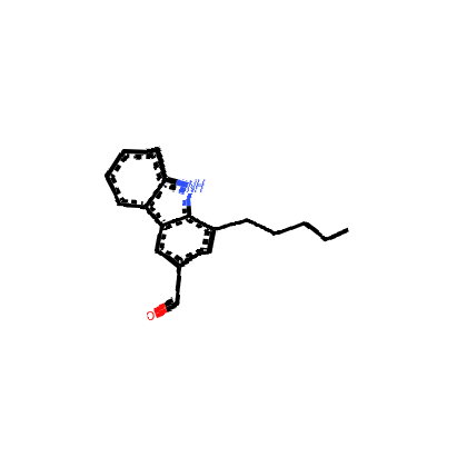 CCCCCc1cc(C=O)cc2c1[nH]c1ccccc12